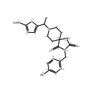 CC(=O)Nc1ncc(C(C)N2CCC3(CC2)NC(=O)N(Cc2ncc(C#N)cn2)C3=O)s1